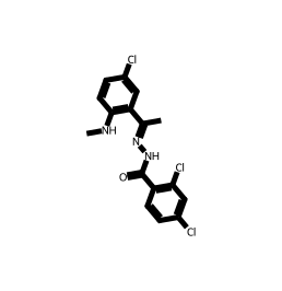 CNc1ccc(Cl)cc1/C(C)=N/NC(=O)c1ccc(Cl)cc1Cl